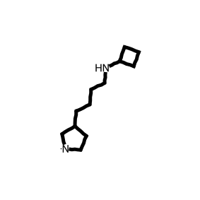 C(CCC1CC[N]C1)CNC1CCC1